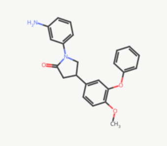 COc1ccc(C2CC(=O)N(c3cccc(N)c3)C2)cc1Oc1ccccc1